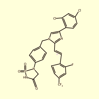 O=C1CN(c2ccc(Cn3cc(-c4ccc(Cl)cc4Cl)nc3/C=C/c3ccc(C(F)(F)F)cc3F)cc2)S(=O)(=O)N1